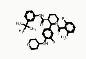 Cc1cccc(F)c1C(=O)N1CCC[C@H](C(=O)Nc2cccc(C(C)(C)C)c2)C1c1ccc(NC2CCOCC2)c(F)c1